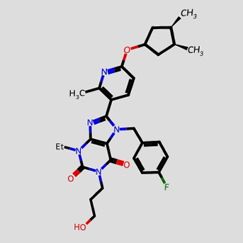 CCn1c(=O)n(CCCO)c(=O)c2c1nc(-c1ccc(OC3C[C@@H](C)[C@@H](C)C3)nc1C)n2Cc1ccc(F)cc1